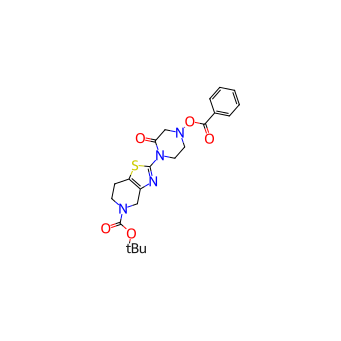 CC(C)(C)OC(=O)N1CCc2sc(N3CCN(OC(=O)c4ccccc4)CC3=O)nc2C1